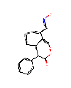 O=C1OC=C2C(C=NO)=CC=CC2C1c1ccccc1